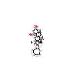 C[C@]12CCC3[C@@H](CC[C@@H]4C[C@H](O)CC[C@]34CO)[C@@H]1CC[C@@H]2C(=O)CC1CCCCCCC1